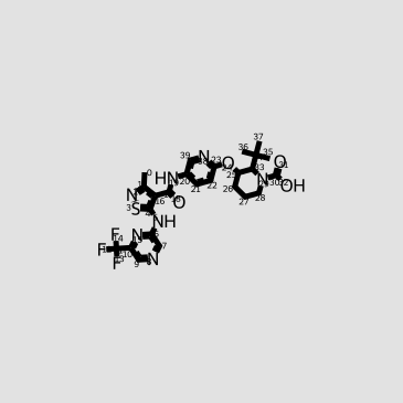 Cc1nsc(Nc2cncc(C(F)(F)F)n2)c1C(=O)Nc1ccc(OC2CCCN(C(=O)O)C2C(C)(C)C)nc1